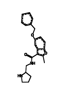 Cc1oc2ccc(OCc3ccccc3)cc2c1C(=O)NCC1CCCN1